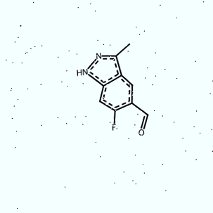 Cc1n[nH]c2cc(F)c(C=O)cc12